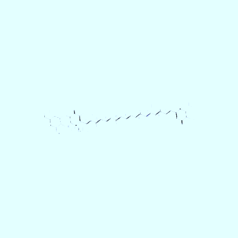 CC1=C(/C=C/C(C)=C/C=C/C(C)=C/C=C/C=C(C)/C=C/C=C(C)/C=C/C2=C(C)C(=O)C(OC3CC(CO)C(O)C(O)C3O)CC2(C)C)C(C)(C)CC(O)C1=O